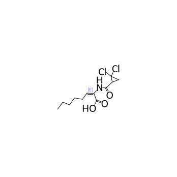 CCCCC/C=C(/NC(=O)C1CC1(Cl)Cl)C(=O)O